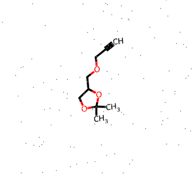 C#CCOCC1COC(C)(C)O1